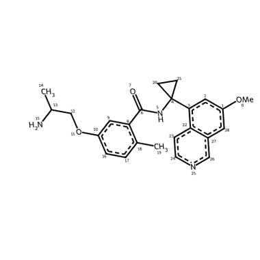 COc1cc(C2(NC(=O)c3cc(OCC(C)N)ccc3C)CC2)c2ccncc2c1